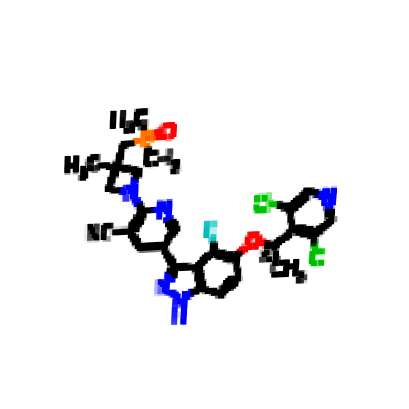 C[C@@H](Oc1ccc2[nH]nc(-c3cnc(N4CC(C)(CP(C)(C)=O)C4)c(C#N)c3)c2c1F)c1c(Cl)cncc1Cl